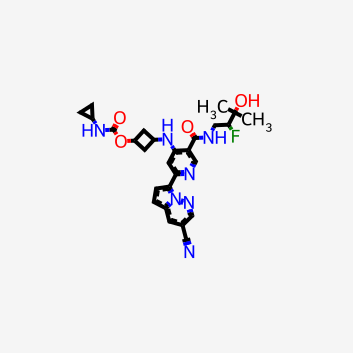 CC(C)(O)C(F)CNC(=O)c1cnc(-c2ccc3cc(C#N)cnn23)cc1NC1CC(OC(=O)NC2CC2)C1